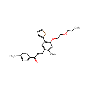 COCCOCCOc1cc(OC)c(/C=C/C(=O)c2ccc(C(=O)O)cc2)cc1-c1cccs1